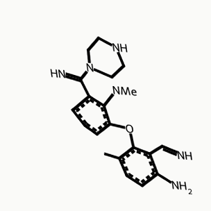 CNc1c(Oc2c(C)ccc(N)c2C=N)cccc1C(=N)N1CCNCC1